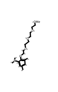 COCCOCCOCCOCCOc1c(C)cc(C)cc1N(C)C